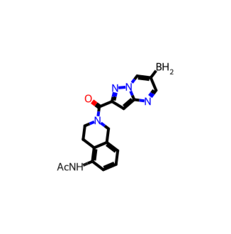 Bc1cnc2cc(C(=O)N3CCc4c(cccc4NC(C)=O)C3)nn2c1